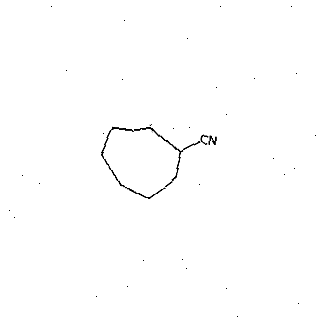 N#CC1[CH]CCCCC1